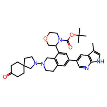 Cc1c[nH]c2ncc(-c3cc4c(c(C5COCCN5C(=O)OC(C)(C)C)c3)CN(N3CCC5(CCC(=O)CC5)C3)CC4)cc12